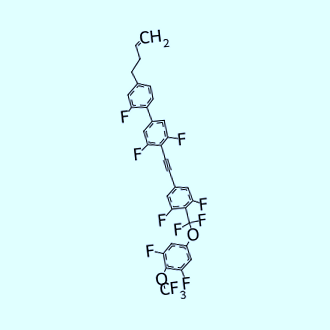 C=CCCc1ccc(-c2cc(F)c(C#Cc3cc(F)c(C(F)(F)Oc4cc(F)c(OC(F)(F)F)c(F)c4)c(F)c3)c(F)c2)c(F)c1